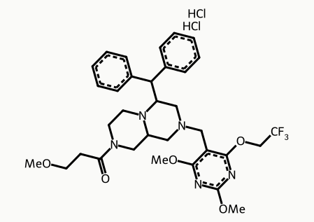 COCCC(=O)N1CCN2C(CN(Cc3c(OC)nc(OC)nc3OCC(F)(F)F)CC2C(c2ccccc2)c2ccccc2)C1.Cl.Cl